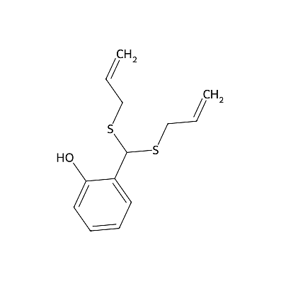 C=CCSC(SCC=C)c1ccccc1O